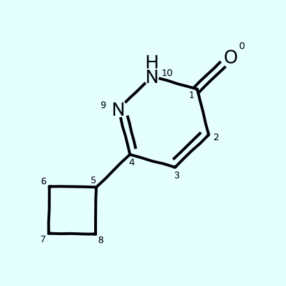 O=c1ccc(C2CCC2)n[nH]1